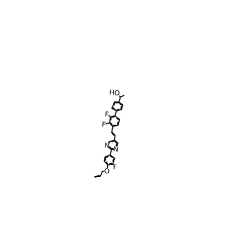 C=CCOc1ccc(-c2ncc(/C=C/c3ccc(-c4ccc(C(C)O)cc4)c(F)c3F)cn2)cc1F